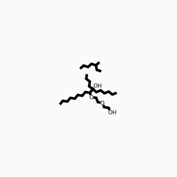 CCCCC(C)CC.CCCCCCCCC(OCCOCCO)C(O)(CCCC)CCCCCC